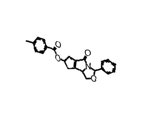 Cc1ccc(C(=O)OC2CC3=C(C2)C2COC(c4ccccc4)N2C3=O)cc1